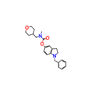 CN(CC1CCOCC1)C(=O)Oc1ccc2c(c1)CCN2Cc1ccccc1